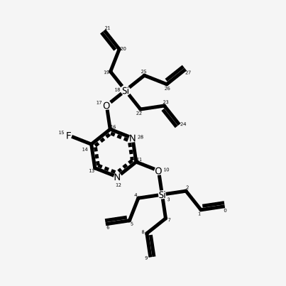 C=CC[Si](CC=C)(CC=C)Oc1ncc(F)c(O[Si](CC=C)(CC=C)CC=C)n1